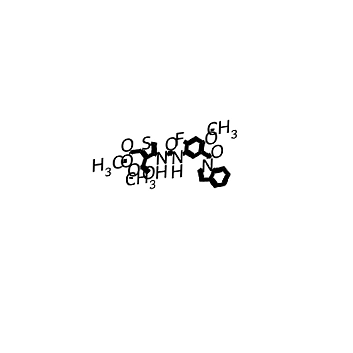 COC(=O)c1scc(NC(=O)Nc2cc(C(=O)n3ccc4ccccc43)c(OC)cc2F)c1C(=O)OC